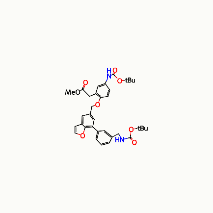 COC(=O)Cc1cc(NC(=O)OC(C)(C)C)ccc1OCc1cc(-c2cccc(CNC(=O)OC(C)(C)C)c2)c2occc2c1